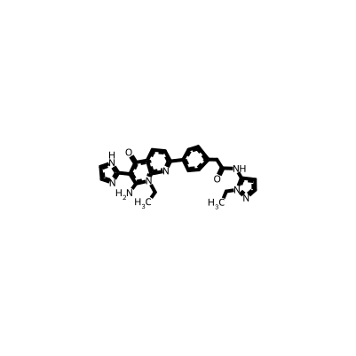 CCn1nccc1NC(=O)Cc1ccc(-c2ccc3c(=O)c(-c4ncc[nH]4)c(N)n(CC)c3n2)cc1